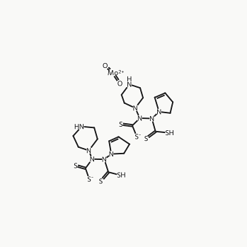 S=C(S)N(N1C=CCC1)N(C(=S)[S-])N1CCNCC1.S=C(S)N(N1C=CCC1)N(C(=S)[S-])N1CCNCC1.[O]=[Mo+2]=[O]